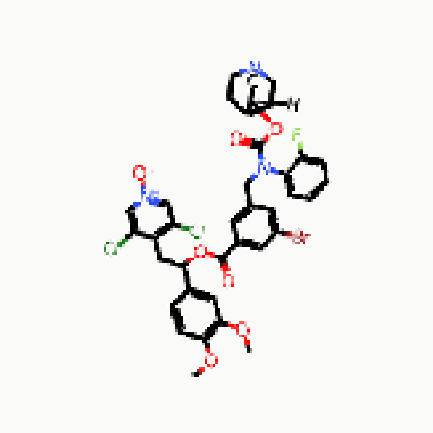 COc1ccc(C(Cc2c(Cl)c[n+]([O-])cc2Cl)OC(=O)c2cc(Br)cc(CN(C(=O)O[C@H]3CN4CCC3CC4)c3ccccc3F)c2)cc1OC